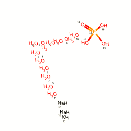 O.O.O.O.O.O.O.O.O.O.O.O.O=P(O)(O)O.[KH].[NaH].[NaH]